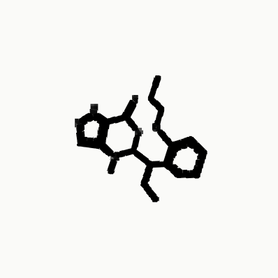 CCCOc1ccccc1C(CC)C1[N]C(=S)c2[nH]ncc2N1C